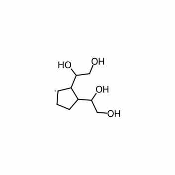 OCC(O)C1[CH]CCC1C(O)CO